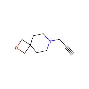 C#CCN1CCC2(CC1)COC2